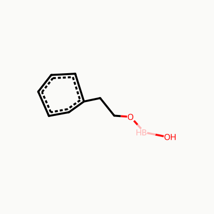 OBOCCc1ccccc1